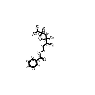 O=C(SCCC(F)C(F)(F)CC(F)(F)C(F)F)c1ccccc1